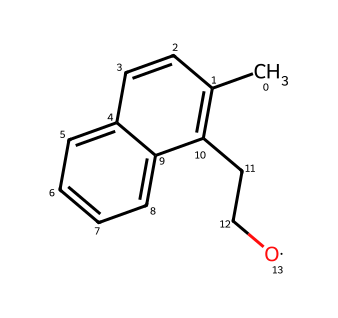 Cc1ccc2ccccc2c1CC[O]